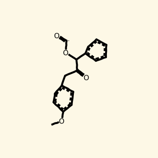 COc1ccc(CC(=O)C(O[C]=O)c2ccccc2)cc1